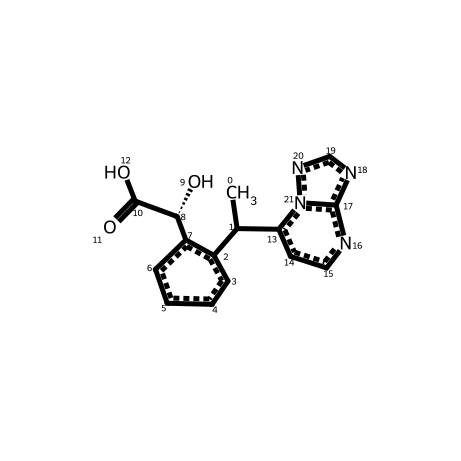 CC(c1ccccc1[C@@H](O)C(=O)O)c1ccnc2ncnn12